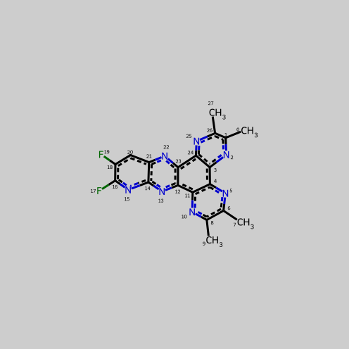 Cc1nc2c3nc(C)c(C)nc3c3nc4nc(F)c(F)cc4nc3c2nc1C